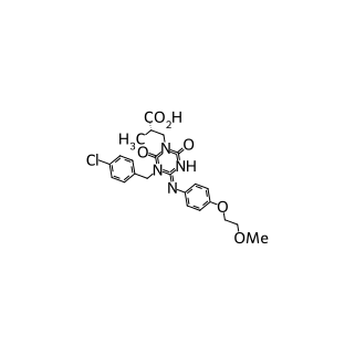 COCCOc1ccc(/N=c2\[nH]c(=O)n(C[C@H](C)C(=O)O)c(=O)n2Cc2ccc(Cl)cc2)cc1